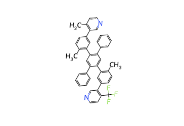 Cc1ccncc1-c1ccc(C)c(-c2cc(-c3ccccc3)c(-c3cc(-c4cnccc4C(F)(F)F)ccc3C)cc2-c2ccccc2)c1